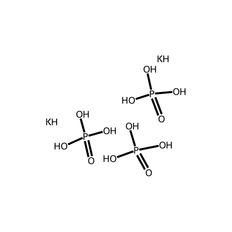 O=P(O)(O)O.O=P(O)(O)O.O=P(O)(O)O.[KH].[KH]